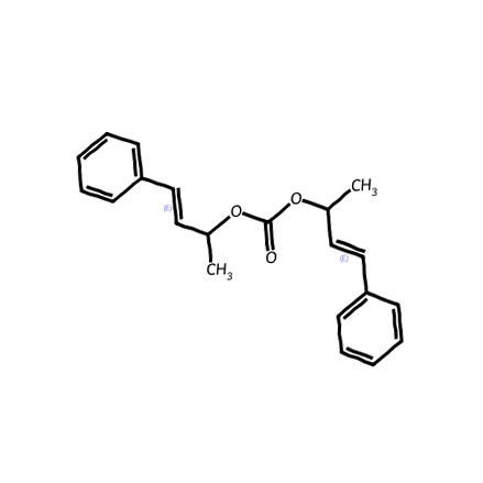 CC(/C=C/c1ccccc1)OC(=O)OC(C)/C=C/c1ccccc1